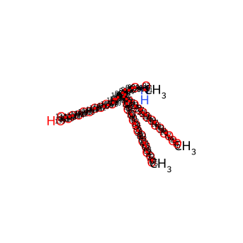 COCCOCCOCCOCCOCCOCCOCCOCCOCCOCCOCCOCCCC1(CCCOCCOCCOCCOCCOCCOCCOCCOCCOCCOCCOCCOC)c2cc(-c3ccc(OCCCCNC(C)=O)cc3)ccc2-c2ccc(-c3ccc(OCCOCCOCCOCCOCCOCCOCCOCCOCCC(=O)O)cc3)cc21